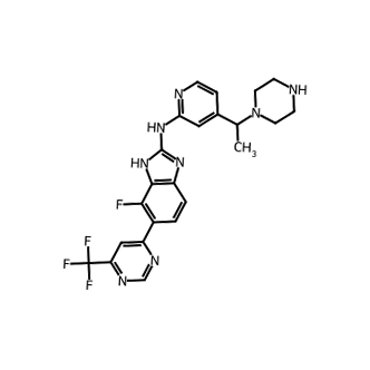 CC(c1ccnc(Nc2nc3ccc(-c4cc(C(F)(F)F)ncn4)c(F)c3[nH]2)c1)N1CCNCC1